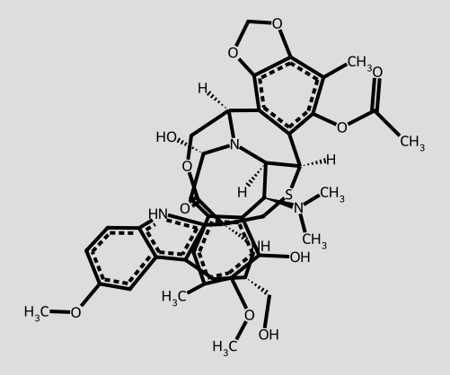 COc1ccc2[nH]c3c(c2c1)C[C@@H](CO)N[C@]31CS[C@@H]2c3c(OC(C)=O)c(C)c4c(c3[C@H](COC1=O)N1[C@@H]2[C@@H](N(C)C)c2c(cc(C)c(OC)c2O)C[C@@H]1O)OCO4